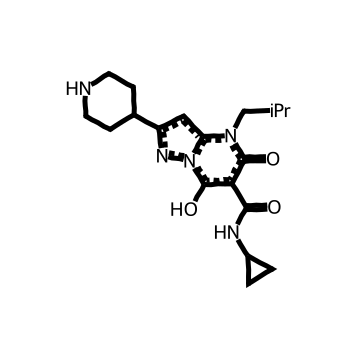 CC(C)Cn1c(=O)c(C(=O)NC2CC2)c(O)n2nc(C3CCNCC3)cc12